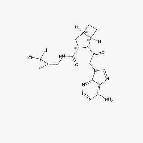 Nc1ncnc2c1ncn2CC(=O)N1[C@@H]2CC[C@@H]2C[C@H]1C(=O)NCC1CC1(Cl)Cl